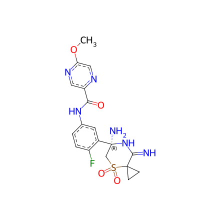 COc1cnc(C(=O)Nc2ccc(F)c([C@]3(N)CS(=O)(=O)C4(CC4)C(=N)N3)c2)cn1